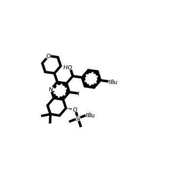 CC1(C)Cc2nc(C3CCOCC3)c(C(O)c3ccc(C(C)(C)C)cc3)c(I)c2[C@H](O[Si](C)(C)C(C)(C)C)C1